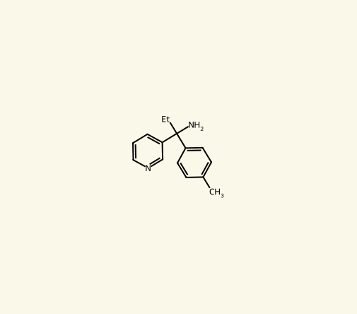 CCC(N)(c1ccc(C)cc1)c1cccnc1